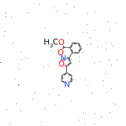 COC(=O)c1ccccc1-c1cc(-c2ccncc2)on1